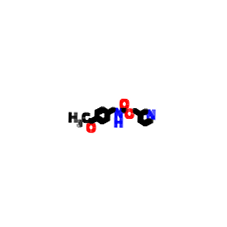 CC(=O)c1ccc(CNC(=O)OCc2cccnc2)cc1